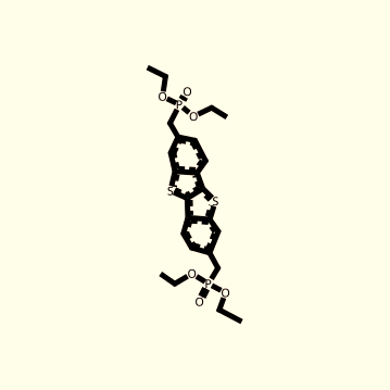 CCOP(=O)(Cc1ccc2c(c1)sc1c3ccc(CP(=O)(OCC)OCC)cc3sc21)OCC